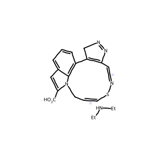 CCNCC.O=C(O)c1cc2cccc3c2n1C/C=C\S/N=C\C1=C3CN=N1